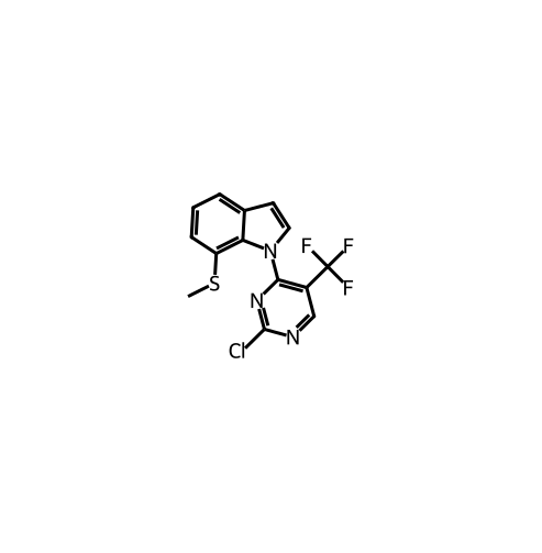 CSc1cccc2ccn(-c3nc(Cl)ncc3C(F)(F)F)c12